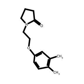 Cc1ccc(OCCN2CCCC2=O)cc1C